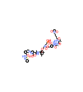 Cc1c(-c2ccc(N3CCc4cccc(C(=O)Nc5nc6ccccc6s5)c4C3)nc2C(=O)O)cnn1CC12CC3(C)CC(C)(C1)CC(OCCN(CCCP(=O)(O)O)C(=O)OCc1ccc(NC(=O)[C@H](C)NC(=O)[C@@H](NC(=O)CCCCCN4C(=O)C=CC4=O)C(C)C)cc1)(C3)C2